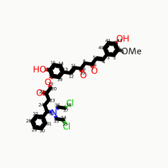 COc1cc(/C=C/C(=O)CC(=O)/C=C/c2ccc(O)c(OCC(=O)CCC(c3ccccc3)N(CCCl)CCCl)c2)ccc1O